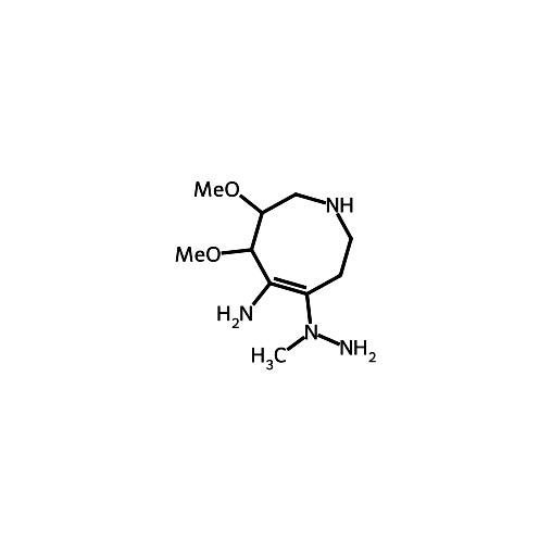 COC1CNCC/C(N(C)N)=C(/N)C1OC